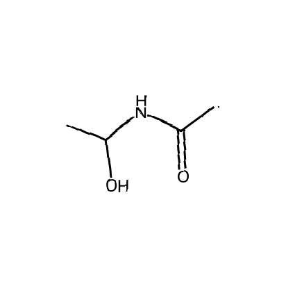 [CH2]C(=O)NC(C)O